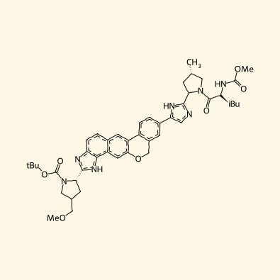 CC[C@H](C)C(NC(=O)OC)C(=O)N1C[C@@H](C)CC1c1ncc(-c2ccc3c(c2)COc2cc4c(ccc5nc([C@@H]6CC(COC)CN6C(=O)OC(C)(C)C)[nH]c54)cc2-3)[nH]1